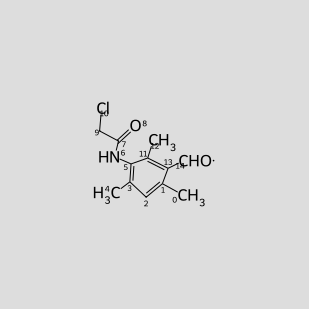 Cc1cc(C)c(NC(=O)CCl)c(C)c1[C]=O